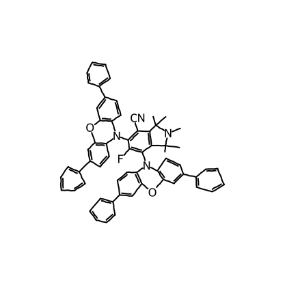 CN1C(C)(C)c2c(C#N)c(N3c4ccc(-c5ccccc5)cc4Oc4cc(-c5ccccc5)ccc43)c(F)c(N3c4ccc(-c5ccccc5)cc4Oc4cc(-c5ccccc5)ccc43)c2C1(C)C